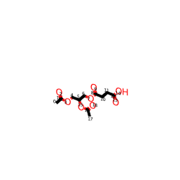 CC(=O)OCC(COC(=O)CCC(=O)O)OC(C)=O